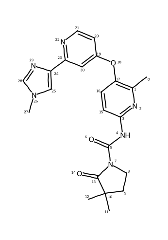 Cc1nc(NC(=O)N2CCC(C)(C)C2=O)ccc1Oc1ccnc(-c2cn(C)cn2)c1